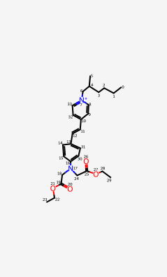 CCCCC(C)C[n+]1ccc(/C=C/c2ccc(N(CC(=O)OCC)CC(=O)OCC)cc2)cc1